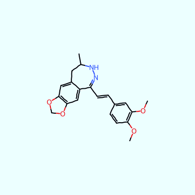 COc1ccc(C=CC2=NNC(C)Cc3cc4c(cc32)OCO4)cc1OC